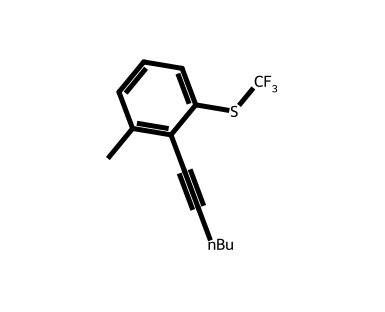 CCCCC#Cc1c(C)cccc1SC(F)(F)F